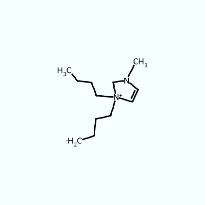 [CH2]CCC[N+]1(CCCC)C=CN(C)C1